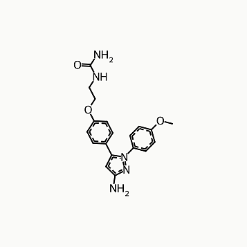 COc1ccc(-n2nc(N)cc2-c2ccc(OCCNC(N)=O)cc2)cc1